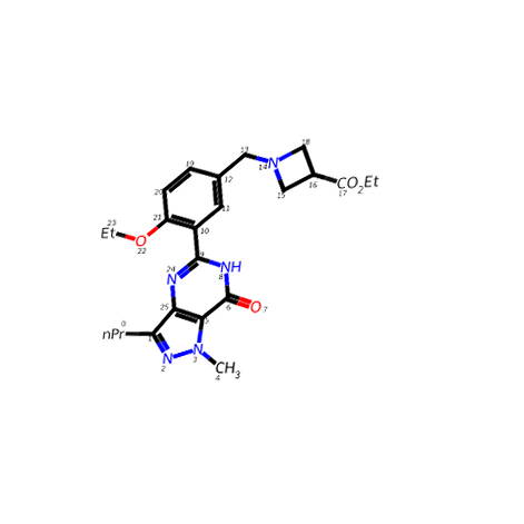 CCCc1nn(C)c2c(=O)[nH]c(-c3cc(CN4CC(C(=O)OCC)C4)ccc3OCC)nc12